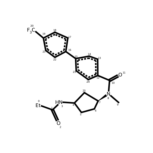 CCC(=O)NC1CC[C@H](N(C)C(=O)c2ccc(-c3ccc(C(F)(F)F)cc3)cc2)C1